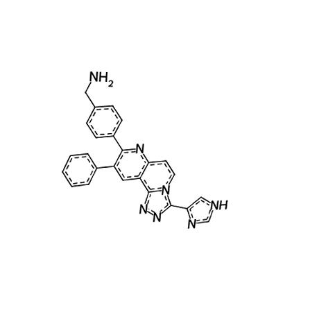 NCc1ccc(-c2nc3ccn4c(-c5c[nH]cn5)nnc4c3cc2-c2ccccc2)cc1